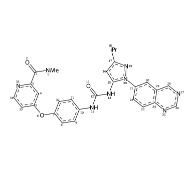 CNC(=O)c1cc(Oc2ccc(NC(=O)Nc3cc(C(C)C)nn3-c3ccc4ncncc4c3)cc2)ccn1